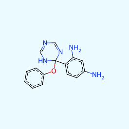 Nc1ccc(C2(Oc3ccccc3)N=CN=CN2)c(N)c1